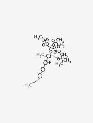 C=C(C)C(=O)OCCCc1cc(-c2ccc(-c3ccc(C4CCC(CCCCC)CC4)cc3)cc2F)c(CC)cc1OCC(COC(=O)C(=C)C)(COC(=O)C(=O)OCC)COC(=O)C(=O)OCC